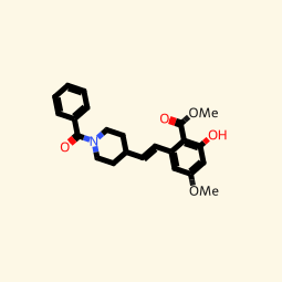 COC(=O)c1c(O)cc(OC)cc1C=CC1CCN(C(=O)c2ccccc2)CC1